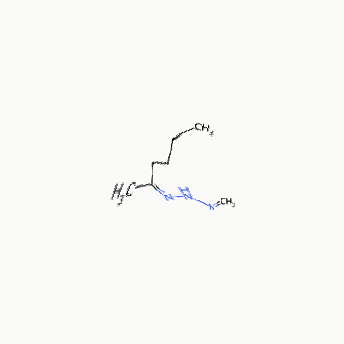 C=NN/N=C(/C)CCCC